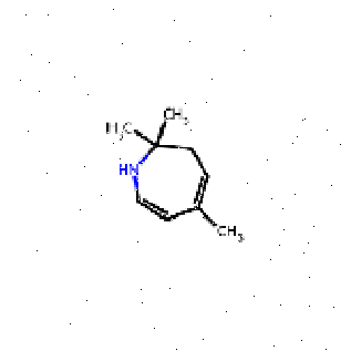 CC1=CCC(C)(C)NC=C1